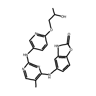 Cc1cnc(Nc2ccc(OCC(C)O)nc2)nc1Nc1ccc2oc(=O)[nH]c2c1